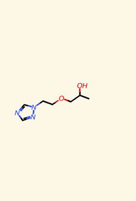 CC(O)COCCn1cncn1